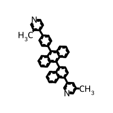 Cc1cncc(-c2ccc(-c3c4ccccc4c(-c4ccc(-c5ccncc5C)cc4)c4ccccc34)c3ccccc23)c1